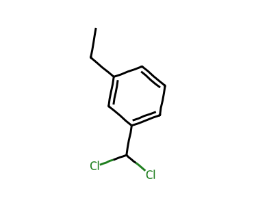 CCc1cccc(C(Cl)Cl)c1